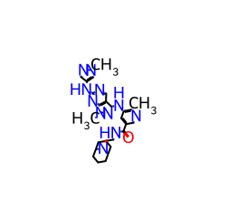 Cc1ncc(C(=O)NCCN2C3CCCC2CCC3)cc1Nc1nn(C)c2nc(Nc3cnn(C)c3)ncc12